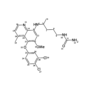 COc1cc(NC(C)CCCNC(N)=O)c2nccc(C)c2c1Oc1ccc(Cl)c(Cl)c1